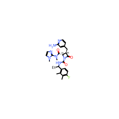 CCC(NC(=O)N1C(=O)[C@H](Cc2ccnc(N)c2)[C@H]1C(=O)N(C)c1nccn1C)c1ccc(F)c(C)c1C